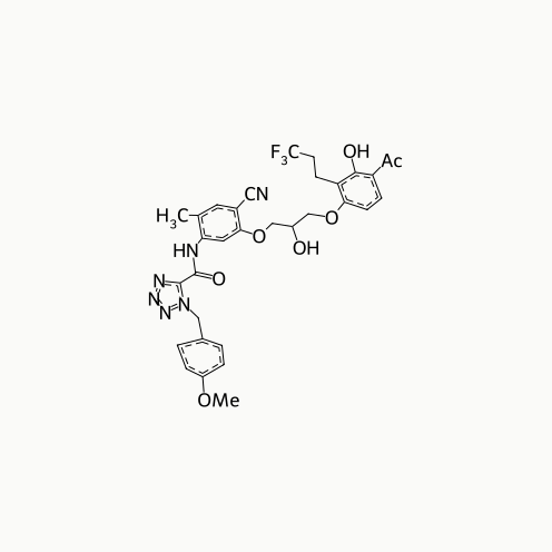 COc1ccc(Cn2nnnc2C(=O)Nc2cc(OCC(O)COc3ccc(C(C)=O)c(O)c3CCC(F)(F)F)c(C#N)cc2C)cc1